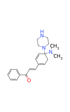 CN(C)C1(N2CCNCC2)C=CC(C=CC(=O)c2ccccc2)=CC1